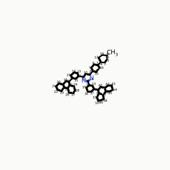 CC1C=CC(c2ccc(-c3cc(-c4cccc(-c5cc6ccccc6c6ccccc56)c4)nc(-c4cccc(-c5cc6ccccc6c6ccccc56)c4)n3)cc2)=CC1